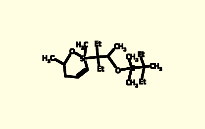 CCC(C)(CC)[Si](C)(C)OC(C)C(CC)(CC)[Si]1(C)C=CCC(C)O1